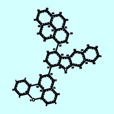 c1ccc2c(c1)Oc1cccc3cc(-c4ccc(-c5ccc6ccc7cccc8ccc5c6c78)c5c4oc4cc6ccccc6cc45)cc-2c13